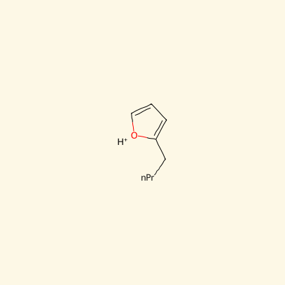 CCCCc1ccco1.[H+]